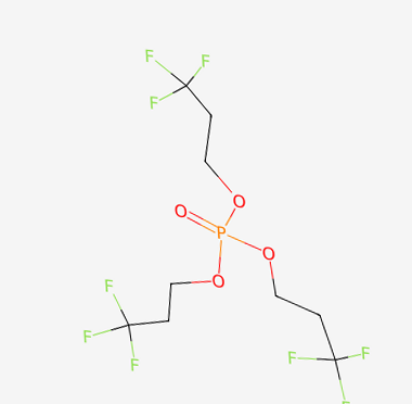 O=P(OCCC(F)(F)F)(OCCC(F)(F)F)OCCC(F)(F)F